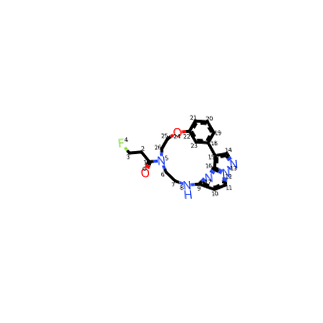 O=C(CCF)N1CCNc2ccn3ncc(c3n2)-c2cccc(c2)OCC1